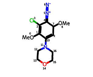 COC1=C(Cl)C(=[N+]=[N-])C(OC)C=C1N1CCOCC1